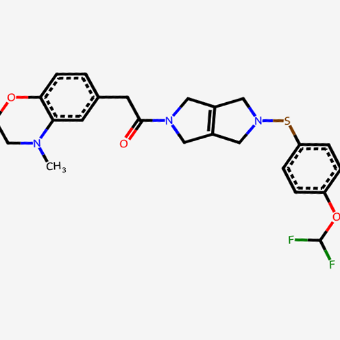 CN1CCOc2ccc(CC(=O)N3CC4=C(CN(Sc5ccc(OC(F)F)cc5)C4)C3)cc21